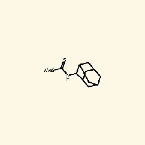 CSC(=S)NC1C2CC3CC(C2)CC1C3